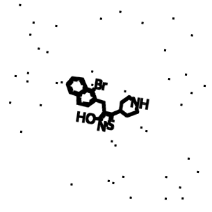 Oc1nsc(C2CCNCC2)c1Cc1ccc2ccccc2c1Br